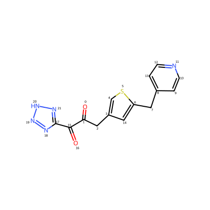 O=C(Cc1csc(Cc2ccncc2)c1)C(=O)c1nn[nH]n1